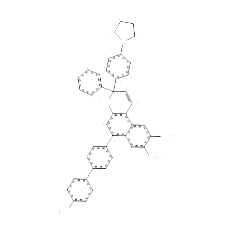 COc1cc2c(-c3ccc(-c4ccc(O)cc4)cc3)cc3c(c2cc1OC)C=CC(c1ccccc1)(c1ccc(N2CCCC2)cc1)O3